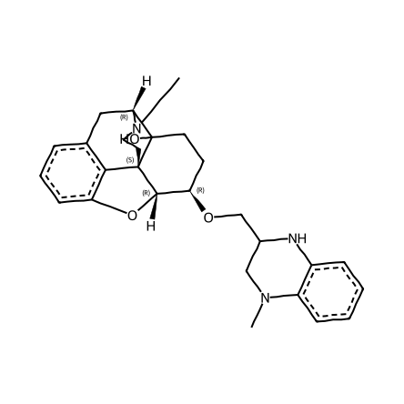 CN1CC(CO[C@@H]2CCC3(O)[C@H]4Cc5cccc6c5[C@@]3(CCN4C)[C@H]2O6)Nc2ccccc21